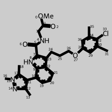 COC(=O)CNC(=O)c1[nH]c2c(-c3c(C)nn(C)c3C)cccc2c1CCCOc1cc(C)c(Cl)c(C)c1